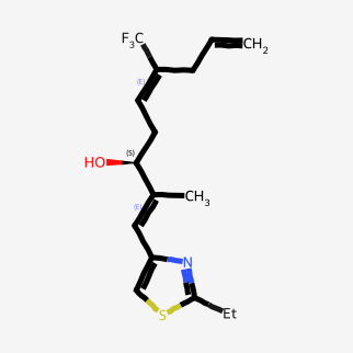 C=CC/C(=C\C[C@H](O)/C(C)=C/c1csc(CC)n1)C(F)(F)F